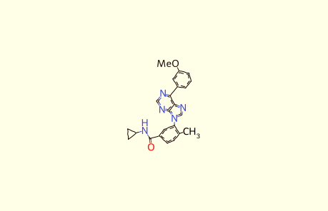 COc1cccc(-c2ncnc3c2ncn3-c2cc(C(=O)NC3CC3)ccc2C)c1